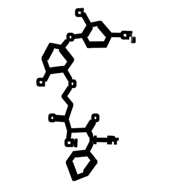 CC(C)N(C(=O)C(C#N)C(=O)CCOc1cc(Oc2ccc(C(F)(F)F)cc2Cl)ccc1Cl)c1ccccc1